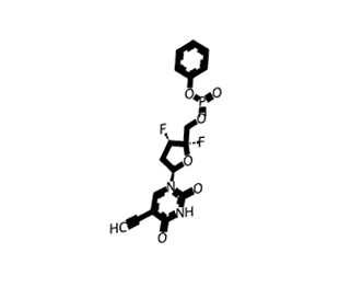 C#Cc1cn([C@H]2C[C@H](F)[C@@](F)(CO[PH](=O)Oc3ccccc3)O2)c(=O)[nH]c1=O